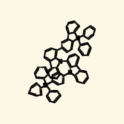 c1ccc([Si](c2ccccc2)(c2ccccc2)c2ccc(-n3c4ccccc4c4cccc(-n5c6ccccc6c6cccc(-c7ccc8c(c7)-c7ccccc7[Si]8(c7ccccc7)c7ccccc7)c65)c43)cc2)cc1